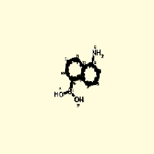 Nc1cccc2c(B(O)O)cccc12